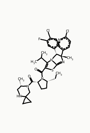 CC[C@@H]1CC[C@H](C(=O)N2CC3(CC3)NC[C@@H]2C)N1C(=O)C1=C(C(C)C)N2C(=N[C@@](C)(c3ccc(Cl)nc3)[C@H]2c2ccc(Cl)c(F)c2)S1